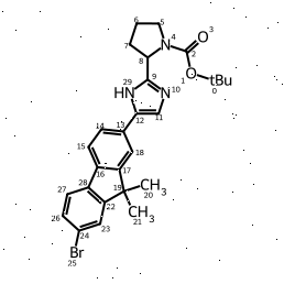 CC(C)(C)OC(=O)N1CCCC1c1ncc(-c2ccc3c(c2)C(C)(C)c2cc(Br)ccc2-3)[nH]1